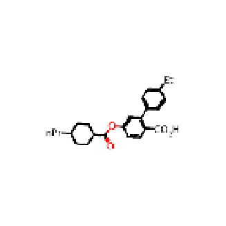 CCCC1CCC(C(=O)Oc2ccc(C(=O)O)c(-c3ccc(CC)cc3)c2)CC1